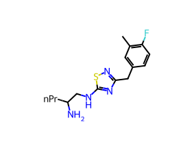 CCCC(N)CNc1nc(Cc2ccc(F)c(C)c2)ns1